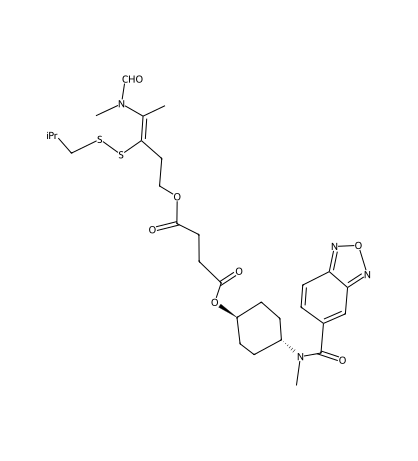 C/C(=C(\CCOC(=O)CCC(=O)O[C@H]1CC[C@H](N(C)C(=O)c2ccc3nonc3c2)CC1)SSCC(C)C)N(C)C=O